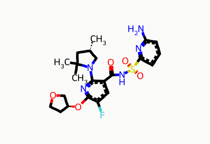 C[C@@H]1CN(c2nc(O[C@H]3CCOC3)c(F)cc2C(=O)NS(=O)(=O)c2cccc(N)n2)C(C)(C)C1